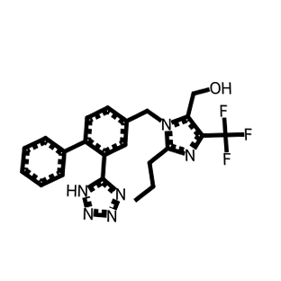 CCCc1nc(C(F)(F)F)c(CO)n1Cc1ccc(-c2ccccc2)c(-c2nnn[nH]2)c1